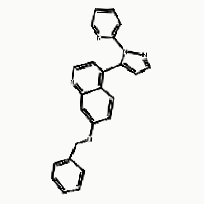 c1ccc(COc2ccc3c(-c4ccnn4-c4ccccn4)ccnc3c2)cc1